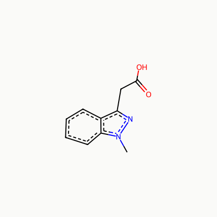 Cn1nc(CC(=O)O)c2ccccc21